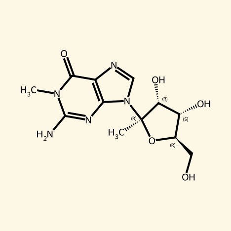 Cn1c(N)nc2c(ncn2[C@]2(C)O[C@H](CO)[C@@H](O)[C@H]2O)c1=O